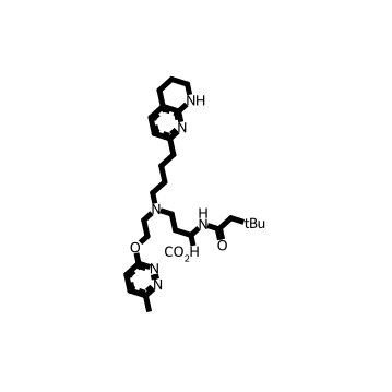 Cc1ccc(OCCN(CCCCc2ccc3c(n2)NCCC3)CCC(NC(=O)CC(C)(C)C)C(=O)O)nn1